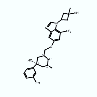 C[C@H]1C[C@@](O)(c2cccc(C#N)c2)C[C@@H](COc2cc(C(F)(F)F)c3c(c2)ncn3C2CC(C)(O)C2)N1